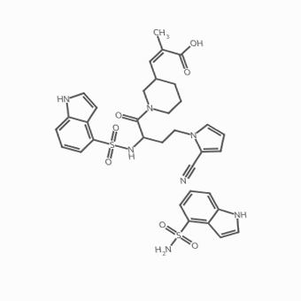 CC(=CC1CCCN(C(=O)C(CCn2cccc2C#N)NS(=O)(=O)c2cccc3[nH]ccc23)C1)C(=O)O.NS(=O)(=O)c1cccc2[nH]ccc12